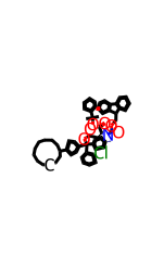 CN(C(=O)OCC1c2ccccc2-c2ccccc21)[C@@H](CC(=O)OC(c1ccccc1)(c1ccc(C2CCCCCCCCCCC2)cc1)c1ccccc1Cl)C(=O)OC(C)(C)c1ccccc1